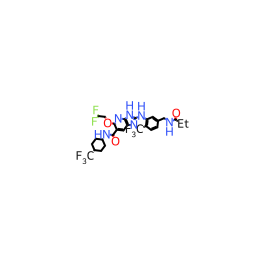 CCC(=O)NCc1ccc(C(F)(F)F)c(Nc2nc3cc(C(=O)N[C@H]4CC[C@H](C(F)(F)F)CC4)c(OCC(F)F)nc3[nH]2)c1